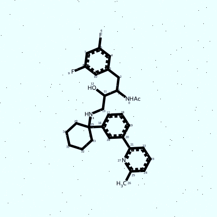 CC(=O)NC(Cc1cc(F)cc(F)c1)C(O)CNC1(c2cccc(-c3cccc(C)n3)c2)CCCCC1